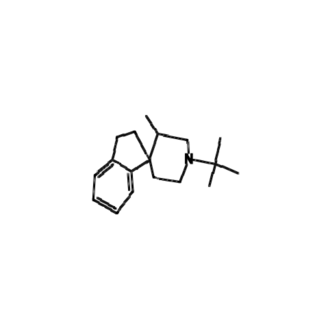 CC1CN(C(C)(C)C)CCC12CCc1ccccc12